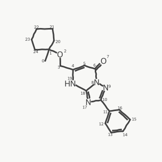 CC1(OCc2cc(=O)n3nc(-c4ccccc4)nc3[nH]2)CCCCC1